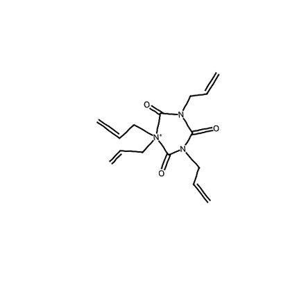 C=CCN1C(=O)N(CC=C)C(=O)[N+](CC=C)(CC=C)C1=O